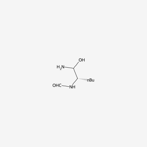 CCCC[C@H](NC=O)C(N)O